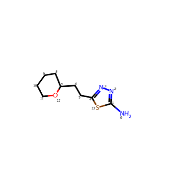 Nc1nnc(CCC2CCCCO2)s1